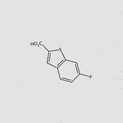 O=C(O)c1cc2ccc(F)cc2s1